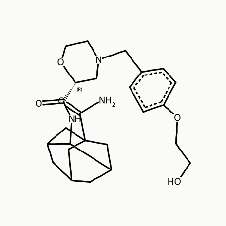 NC(=O)C12CC3CC(C1)C(NC(=O)[C@H]1CN(Cc4ccc(OCCO)cc4)CCO1)C(C3)C2